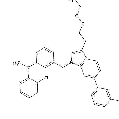 CCOOCCc1cn(Cc2cccc(N(C)c3ccccc3Cl)c2)c2cc(-c3cccc(O)c3)ccc12